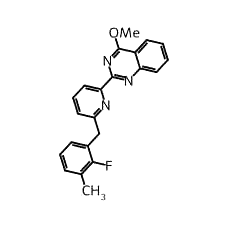 COc1nc(-c2cccc(Cc3cccc(C)c3F)n2)nc2ccccc12